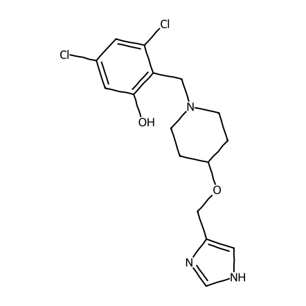 Oc1cc(Cl)cc(Cl)c1CN1CCC(OCc2c[nH]cn2)CC1